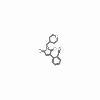 N#Cc1ccccc1C1=CC(=O)N(CC2CCOCC2)C1=O